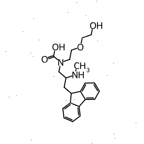 CNC(CC1c2ccccc2-c2ccccc21)CN(CCOCCO)C(=O)O